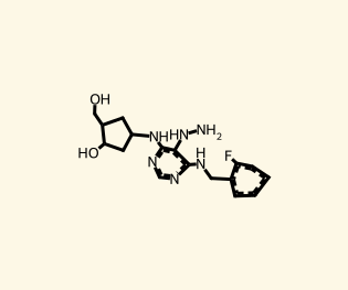 NNc1c(NCc2ccccc2F)ncnc1NC1CC(O)C(CO)C1